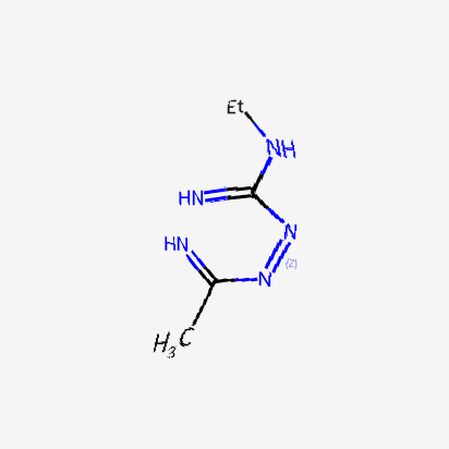 CCNC(=N)/N=N\C(C)=N